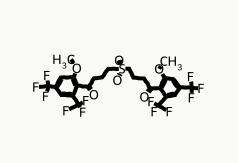 COc1cc(C(F)(F)F)cc(C(F)(F)F)c1C(=O)CCCS(=O)(=O)CCCC(=O)c1c(OC)cc(C(F)(F)F)cc1C(F)(F)F